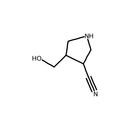 N#CC1CNCC1CO